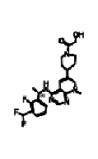 C[C@@H](Nc1ncnc2c1C=C(C1CCN(C(=O)CO)CC1)CN2C)c1cccc(C(F)F)c1F